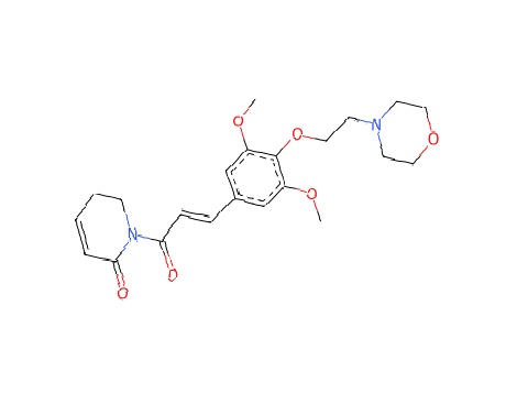 COc1cc(/C=C/C(=O)N2CCC=CC2=O)cc(OC)c1OCCN1CCOCC1